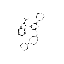 FC(F)c1nc2ccccc2n1-c1cc(OC2CCCN(C3CCOCC3)CC2)nc(N2CCOCC2)n1